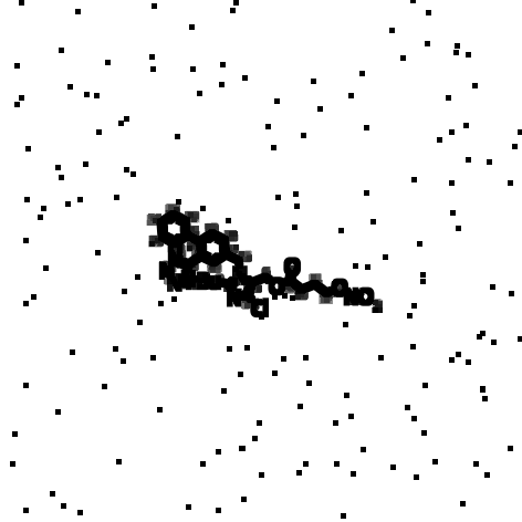 CCCCc1nc(Cl)c(COC(=O)CCCO[N+](=O)[O-])n1Cc1ccc(-c2ccccc2)c(-c2nnn[nH]2)c1